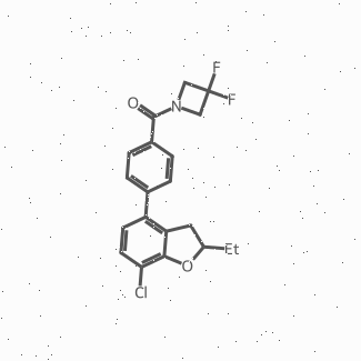 CCC1Cc2c(-c3ccc(C(=O)N4CC(F)(F)C4)cc3)ccc(Cl)c2O1